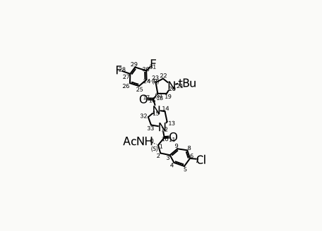 CC(=O)N[C@@H](Cc1ccc(Cl)cc1)C(=O)N1CCN(C(=O)[C@@H]2CN(C(C)(C)C)C[C@H]2c2ccc(F)cc2F)CC1